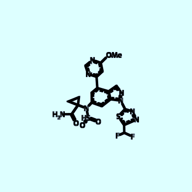 COc1cc(-c2cc(N([SH](=O)=O)C3(C(N)=O)CC3)cc3c2cnn3-c2nnc(C(F)F)s2)ncn1